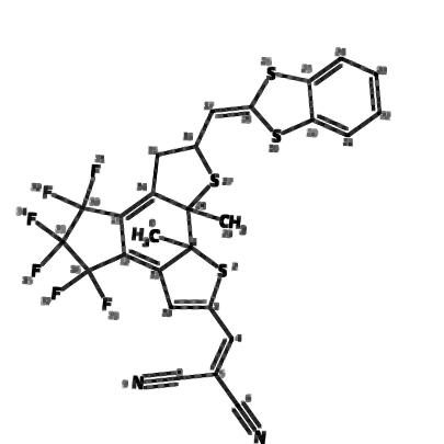 CC12SC(C=C(C#N)C#N)=CC1=C1C(=C3CC(C=C4Sc5ccccc5S4)SC32C)C(F)(F)C(F)(F)C1(F)F